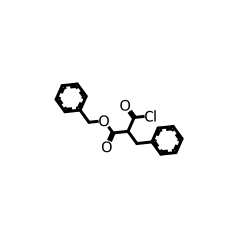 O=C(Cl)C(Cc1ccccc1)C(=O)OCc1ccccc1